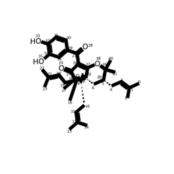 CC(C)=CC[C@@H]1C[C@@]23C[C@H](CC=C(C)C)C(C)(C)C2(CC=C(C)C)C(=O)C(C(=O)c2ccc(O)c(O)c2)=C3OC1(C)C